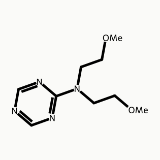 COCCN(CCOC)c1ncncn1